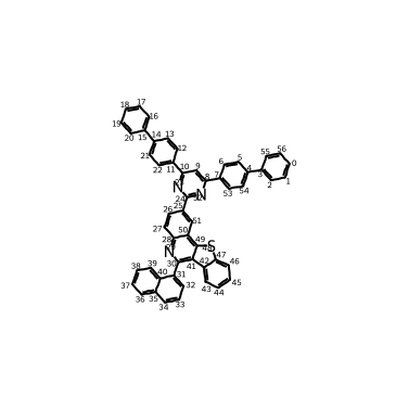 c1ccc(-c2ccc(-c3cc(-c4ccc(-c5ccccc5)cc4)nc(-c4ccc5nc(-c6cccc7ccccc67)c6c7ccccc7sc6c5c4)n3)cc2)cc1